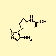 Cn1ncc(N)c1N1CCC(NC(=O)O)C1